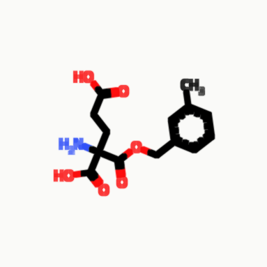 Cc1cccc(COC(=O)C(N)(CCC(=O)O)C(=O)O)c1